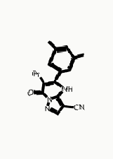 Cc1cc(C)cc(-c2[nH]c3c(C#N)cnn3c(=O)c2C(C)C)c1